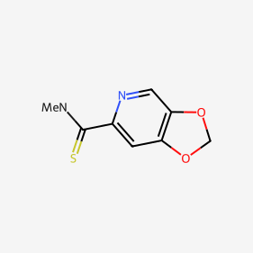 CNC(=S)c1cc2c(cn1)OCO2